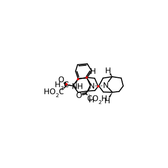 C[C@@H]1C[C@@H]2C[C@H](C1)C[C@@H](N1[C@@H]3CCC[C@H]1C[C@@H](N(C(=O)C(=O)O)c1ccccc1NC(=O)C(=O)O)C3)C2